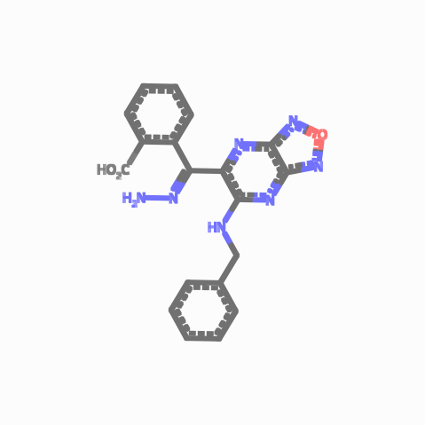 NN=C(c1ccccc1C(=O)O)c1nc2nonc2nc1NCc1ccccc1